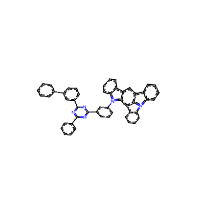 c1ccc(-c2cccc(-c3nc(-c4ccccc4)nc(-c4cccc(-n5c6ccccc6c6cc7c8ccccc8n8c9ccccc9c(c65)c78)c4)n3)c2)cc1